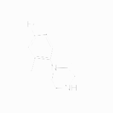 Cc1cc(F)ccc1N1CCN[C@@H](C)C1